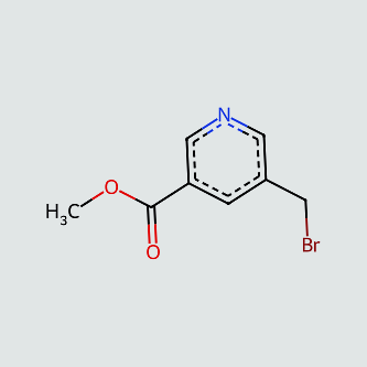 COC(=O)c1cncc(CBr)c1